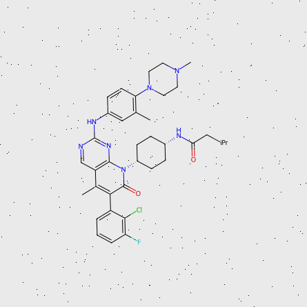 Cc1cc(Nc2ncc3c(C)c(-c4cccc(F)c4Cl)c(=O)n([C@H]4CC[C@@H](NC(=O)CC(C)C)CC4)c3n2)ccc1N1CCN(C)CC1